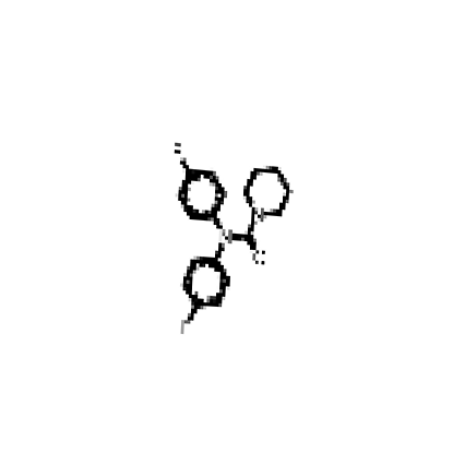 O=C(N1CCCCC1)N(c1ccc(F)cc1)c1ccc(F)cc1